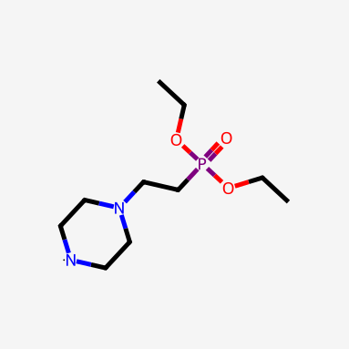 CCOP(=O)(CCN1CC[N]CC1)OCC